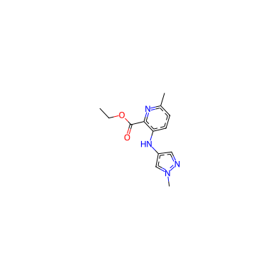 CCOC(=O)c1nc(C)ccc1Nc1cnn(C)c1